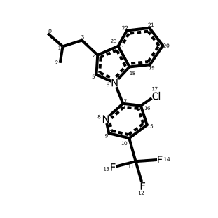 CC(C)Cc1cn(-c2ncc(C(F)(F)F)cc2Cl)c2ccccc12